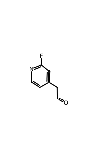 O=CCc1ccnc(F)c1